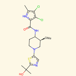 CO[C@H]1CN(c2cnc(C(C)(C)O)s2)CCC1NC(=O)c1[nH]c(C)c(Cl)c1Cl